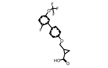 O=C(O)C1CC1COc1ccc(-c2cc(OC(F)(F)F)ccc2F)cc1